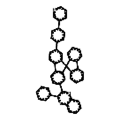 c1ccc(-c2nc3ccccc3nc2-c2ccc3c(c2)C2(c4ccccc4-c4ccccc42)c2cc(-c4ccc(-c5cccnc5)cc4)ccc2-3)cc1